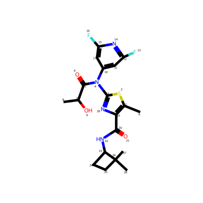 Cc1sc(N(C(=O)C(C)O)c2cc(F)nc(F)c2)nc1C(=O)NC1CCC1(C)C